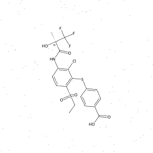 CCS(=O)(=O)c1ccc(NC(=O)[C@@](C)(O)C(F)(F)F)c(Cl)c1Sc1ccc(C(=O)O)cc1